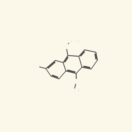 CCCCCCCOc1c2ccccc2c(OCCCCCCC)c2cc(Br)ccc12